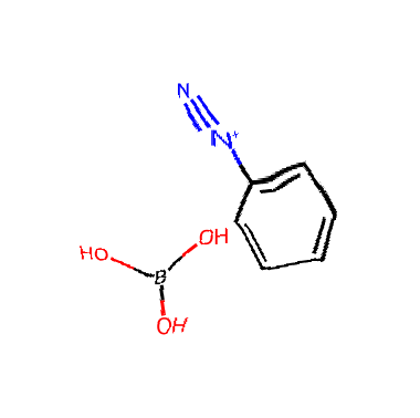 N#[N+]c1ccccc1.OB(O)O